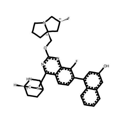 Oc1cc(-c2ccc3c(N4C[C@@H]5CCC4CN5)nc(OC[C@@]45CCCN4C[C@H](F)C5)nc3c2F)c2ccccc2c1